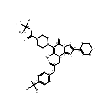 Cc1c(N2CCN(C(=O)OC(C)(C)C)CC2)c(=O)n2nc(C3=CCOCC3)nc2n1CC(=O)Nc1ccc(C(F)(F)F)cc1